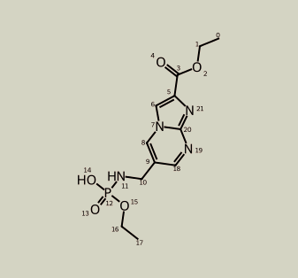 CCOC(=O)c1cn2cc(CNP(=O)(O)OCC)cnc2n1